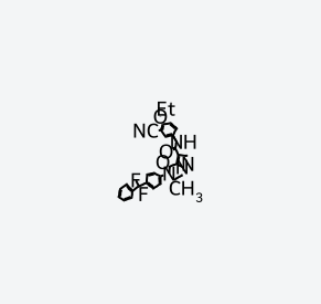 CCOc1ccc(NC(=O)c2cnn3c2C(=O)N(c2ccc(C(F)(F)c4ccccc4)cc2)C(C)C3)cc1C#N